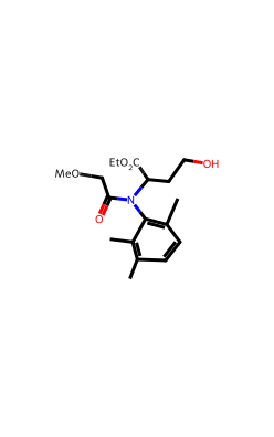 CCOC(=O)C(CCO)N(C(=O)COC)c1c(C)ccc(C)c1C